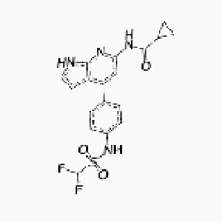 O=C(Nc1cc(-c2ccc(NS(=O)(=O)C(F)F)cc2)c2cc[nH]c2n1)C1CC1